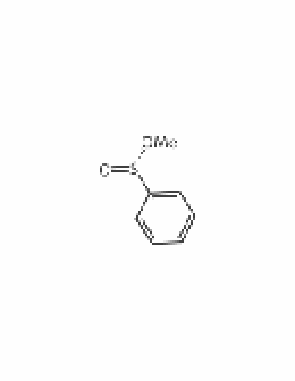 CO[S@@](=O)c1ccccc1